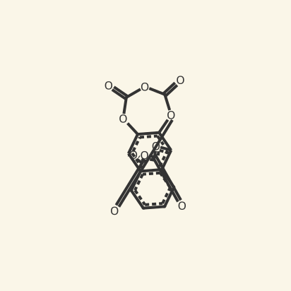 O=C1OC(=O)Oc2c(c3oc(=O)oc(=O)oc2c2ccccc32)O1